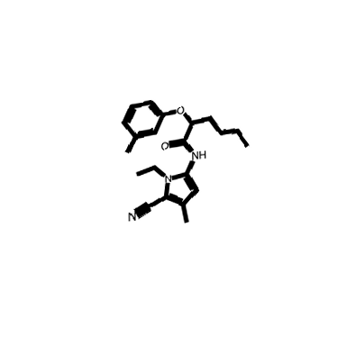 CCCCC(Oc1cccc(C)c1)C(=O)Nc1cc(C)c(C#N)n1CC